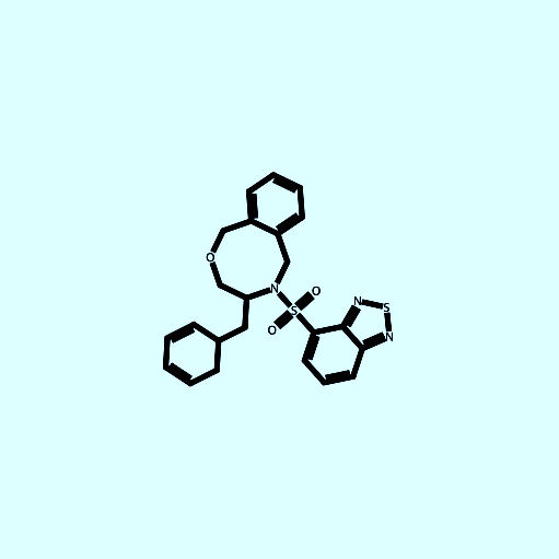 O=S(=O)(c1cccc2nsnc12)N1Cc2ccccc2COCC1CC1C=CC=CC1